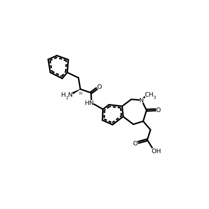 CN1Cc2cc(NC(=O)[C@@H](N)Cc3ccccc3)ccc2CC(CC(=O)O)C1=O